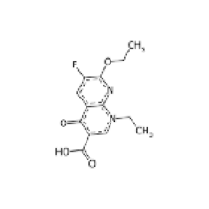 CCOc1nc2c(cc1F)c(=O)c(C(=O)O)cn2CC